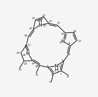 Cc1c(C)c2[nH]c1cc1nc(cc3ccc(cc4nc(c2C)C(C)C4)[nH]3)C=C1